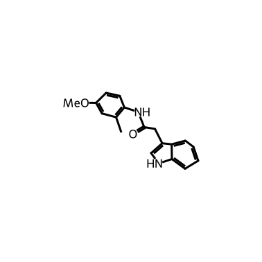 COc1ccc(NC(=O)Cc2c[nH]c3ccccc23)c(C)c1